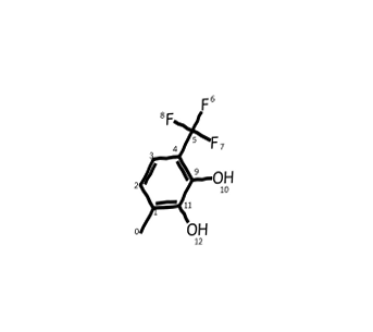 Cc1ccc(C(F)(F)F)c(O)c1O